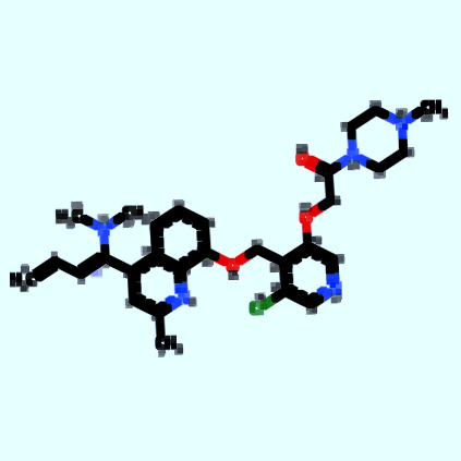 C=C/C=C(/c1cc(C)nc2c(OCc3c(Cl)cncc3OCC(=O)N3CCN(C)CC3)cccc12)N(C)C